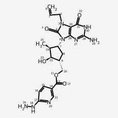 C=CCn1c(=O)n([C@@H]2C[C@H](COC(=O)c3ccc(NN)nc3)[C@@H](O)[C@H]2C)c2nc(N)[nH]c(=O)c21